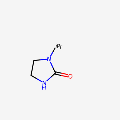 [CH2]C(C)N1CCNC1=O